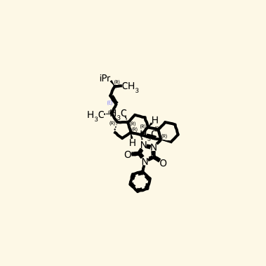 CC(C)[C@@H](C)/C=C/[C@@H](C)[C@H]1CC[C@@H]2[C@]1(C)CC[C@H]1[C@@]23C=C[C@@]2(CCCC[C@]12C)n1c(=O)n(-c2ccccc2)c(=O)n13